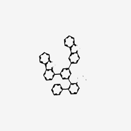 N#Cc1cccc(-c2ccccc2)c1-c1cc(-c2ccc3sc4ccccc4c3c2)cc(-c2cccc3c2sc2ccccc23)c1